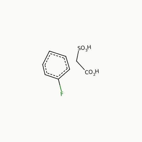 Fc1ccccc1.O=C(O)CS(=O)(=O)O